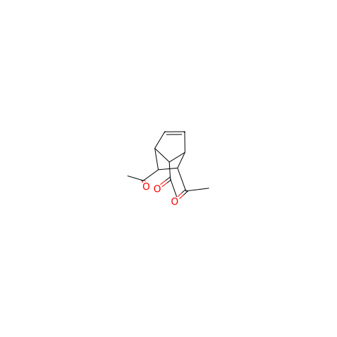 CC(=O)C1C2C=CC1C(C(C)=O)C2C(C)=O